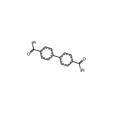 CC(C)C(=O)c1ccc(-c2ccc(C(=O)C(C)C)cc2)cc1